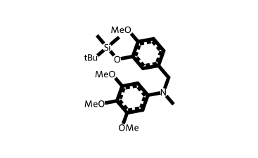 COc1ccc(CN(C)c2cc(OC)c(OC)c(OC)c2)cc1O[Si](C)(C)C(C)(C)C